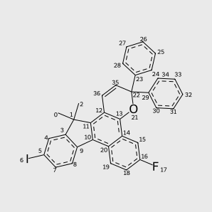 CC1(C)c2cc(I)ccc2-c2c1c1c(c3cc(F)ccc23)OC(c2ccccc2)(c2ccccc2)C=C1